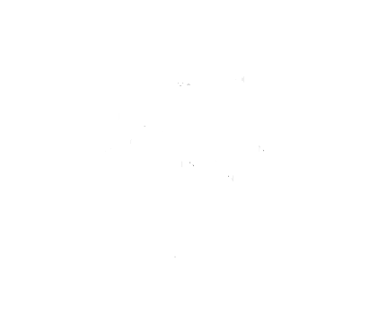 COc1cc2c(Nc3ccc(Br)cc3F)ncnc2cc1O.O=C(O)C(F)(F)F